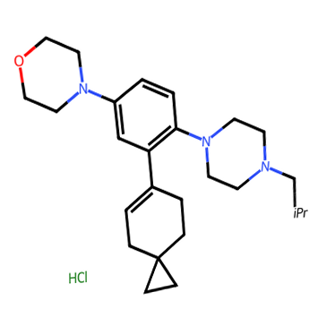 CC(C)CN1CCN(c2ccc(N3CCOCC3)cc2C2=CCC3(CC2)CC3)CC1.Cl